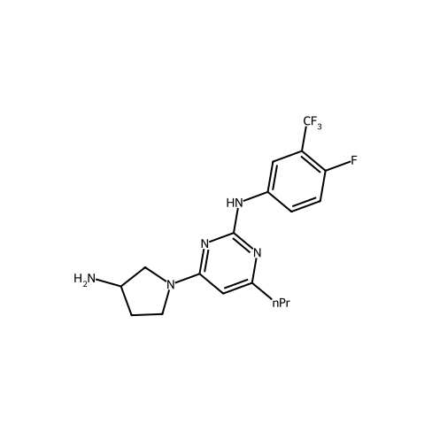 CCCc1cc(N2CCC(N)C2)nc(Nc2ccc(F)c(C(F)(F)F)c2)n1